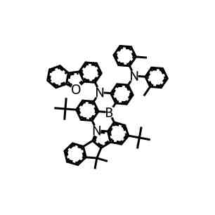 Cc1ccccc1N(c1ccc2c(c1)N(c1cccc3c1oc1ccccc13)c1cc(C(C)(C)C)cc3c1B2c1cc(C(C)(C)C)cc2c4c(n-3c12)-c1ccccc1C4(C)C)c1ccccc1C